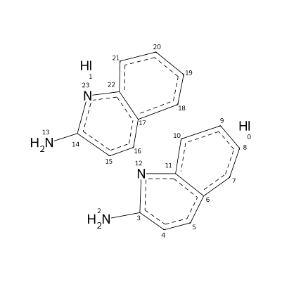 I.I.Nc1ccc2ccccc2n1.Nc1ccc2ccccc2n1